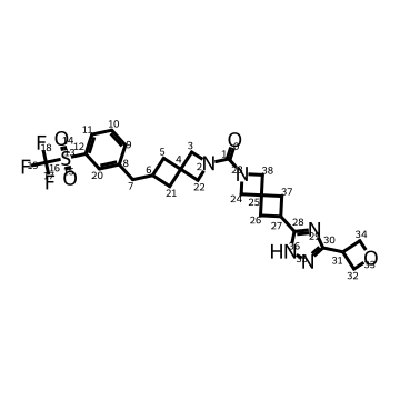 O=C(N1CC2(CC(Cc3cccc(S(=O)(=O)C(F)(F)F)c3)C2)C1)N1CC2(CC(c3nc(C4COC4)n[nH]3)C2)C1